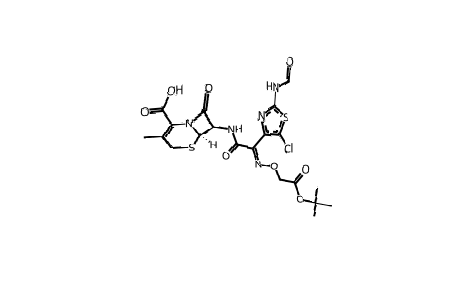 CC1=C(C(=O)O)N2C(=O)C(NC(=O)/C(=N/OCC(=O)OC(C)(C)C)c3nc(NC=O)sc3Cl)[C@H]2SC1